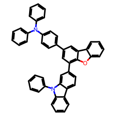 c1ccc(N(c2ccccc2)c2ccc(-c3cc(-c4ccc5c6ccccc6n(-c6ccccc6)c5c4)c4oc5ccccc5c4c3)cc2)cc1